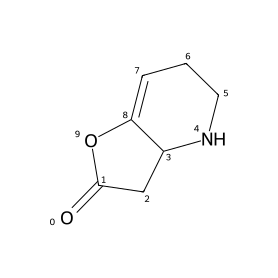 O=C1CC2NCCC=C2O1